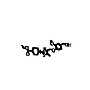 CCOC(=O)C1CCN(c2nc(COc3ccc(CO)cc3OC)c(C)s2)CC1